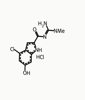 CNC(N)=NC(=O)c1cc2c(Cl)cc(O)cc2[nH]1.Cl